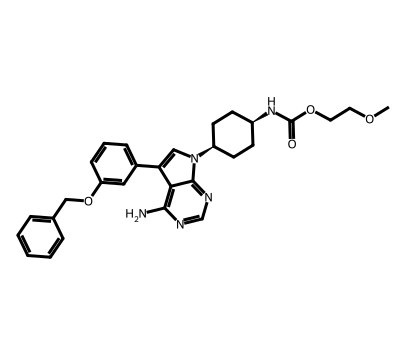 COCCOC(=O)N[C@H]1CC[C@@H](n2cc(-c3cccc(OCc4ccccc4)c3)c3c(N)ncnc32)CC1